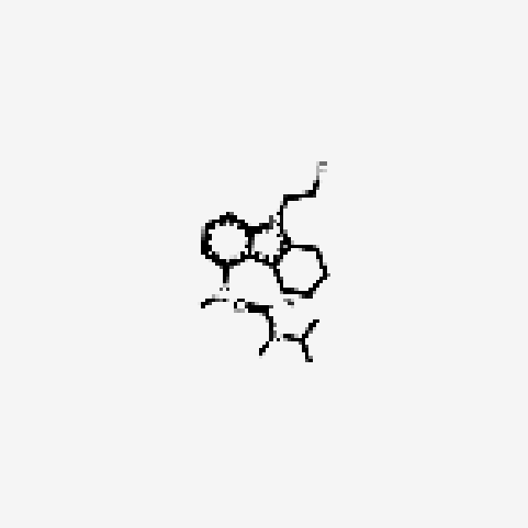 COc1cccc2c1c1c(n2CCF)CCC[C@@H]1C(=O)N(C)C(C)C